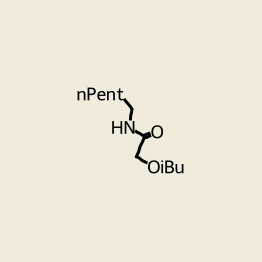 CCCCCCNC(=O)COCC(C)C